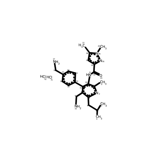 Cc1nc(CC(C)C)c(CN)c(-c2ccc(CN)cc2)c1NC(=O)c1cc(C)n(C)n1.Cl.Cl